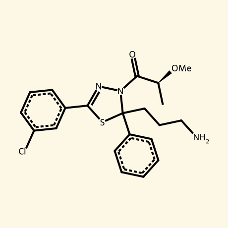 CO[C@@H](C)C(=O)N1N=C(c2cccc(Cl)c2)SC1(CCCN)c1ccccc1